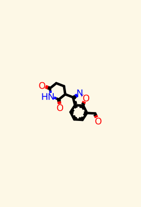 O=Cc1cccc2c(C3CCC(=O)NC3=O)noc12